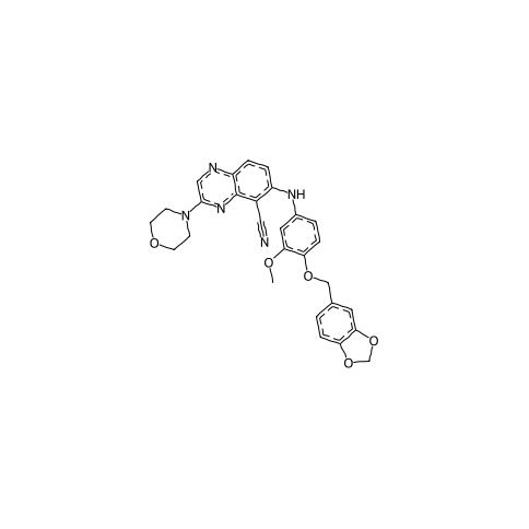 COc1cc(Nc2ccc3ncc(N4CCOCC4)nc3c2C#N)ccc1OCc1ccc2c(c1)OCO2